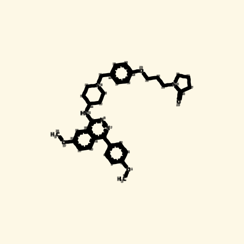 COc1ccc(-c2nnc(NC3CCN(Cc4ccc(OCCCN5CCCC5=O)cc4)CC3)c3cc(OC)ccc23)cc1